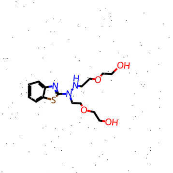 OCCOCCNN(CCOCCO)c1nc2ccccc2s1